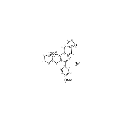 COc1ccc(C(=O)/C(CC2CCCCC2)=C(/C(=O)[O-])c2ccc3c(c2)OCO3)cc1.[Na+]